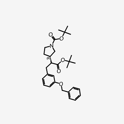 CC(C)(C)OC(=O)C(Cc1cccc(OCc2ccccc2)c1)[C@H]1CCN(C(=O)OC(C)(C)C)C1